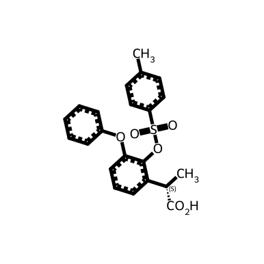 Cc1ccc(S(=O)(=O)Oc2c(Oc3ccccc3)cccc2[C@H](C)C(=O)O)cc1